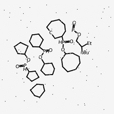 CCCCC(CC)COP=O.O=[PH](OC1CCCC1)C1CCCC1.O=[PH](OC1CCCCC1)C1CCCCC1.O=[PH](OC1CCCCCCC1)C1CCCCCCC1.[CH]1CCCCC1